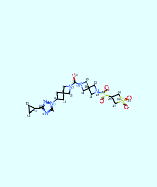 O=C(N1CC2(CC(n3cnc(C4CC4)n3)C2)C1)N1CC2(C1)CN(S(=O)(=O)C1CS(=O)(=O)C1)C2